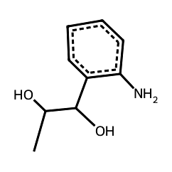 CC(O)C(O)c1ccccc1N